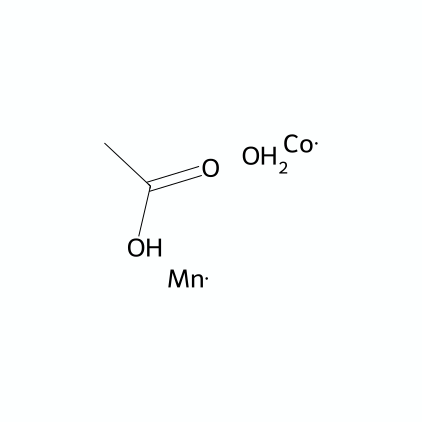 CC(=O)O.O.[Co].[Mn]